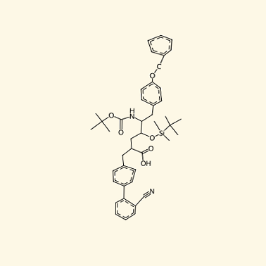 CC(C)(C)OC(=O)NC(Cc1ccc(OCc2ccccc2)cc1)C(CC(Cc1ccc(-c2ccccc2C#N)cc1)C(=O)O)O[Si](C)(C)C(C)(C)C